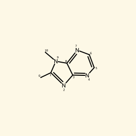 Cc1nc2nccnc2n1C